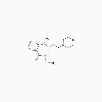 CCN1CC(CCN2CCOCC2)N(C)c2ccccc2C1=O